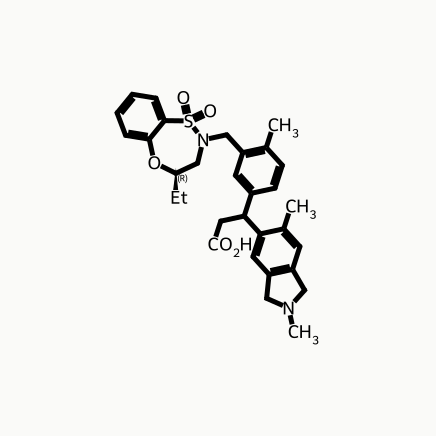 CC[C@@H]1CN(Cc2cc(C(CC(=O)O)c3cc4c(cc3C)CN(C)C4)ccc2C)S(=O)(=O)c2ccccc2O1